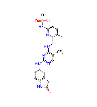 CCS(=O)(=O)Nc1ccc(C)c(CNc2nc(Nc3ccc4c(c3)CC(=O)N4)ncc2C(F)(F)F)n1